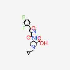 O=C(N[C@@H]1CCN(CC2CC2)C[C@@H]1C(=O)O)c1cc(-c2ccc(F)cc2F)on1